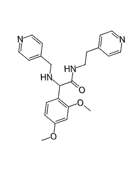 COc1ccc(C(NCc2ccncc2)C(=O)NCCc2ccncc2)c(OC)c1